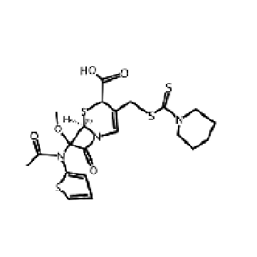 COC1(N(C(C)=O)c2cccs2)C(=O)N2C=C(CSC(=S)N3CCCCC3)C(C(=O)O)S[C@@H]21